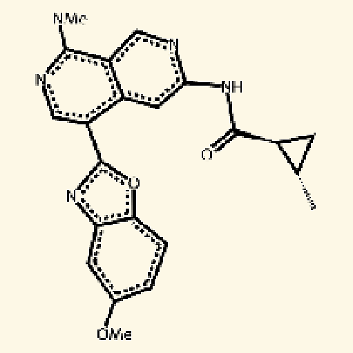 CNc1ncc(-c2nc3cc(OC)ccc3o2)c2cc(NC(=O)[C@H]3C[C@@H]3C)ncc12